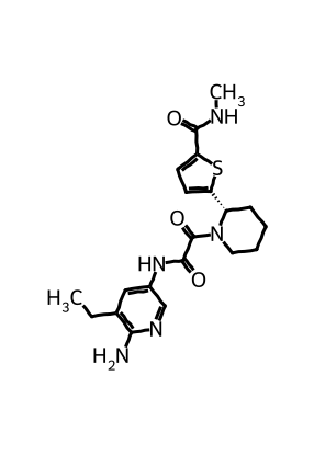 CCc1cc(NC(=O)C(=O)N2CCCC[C@H]2c2ccc(C(=O)NC)s2)cnc1N